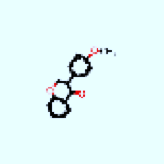 COc1ccc(C2COc3ccccc3C2=O)cc1